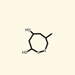 [CH]C1CSSC(O)CC(O)C1